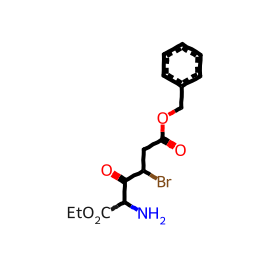 CCOC(=O)C(N)C(=O)C(Br)CC(=O)OCc1ccccc1